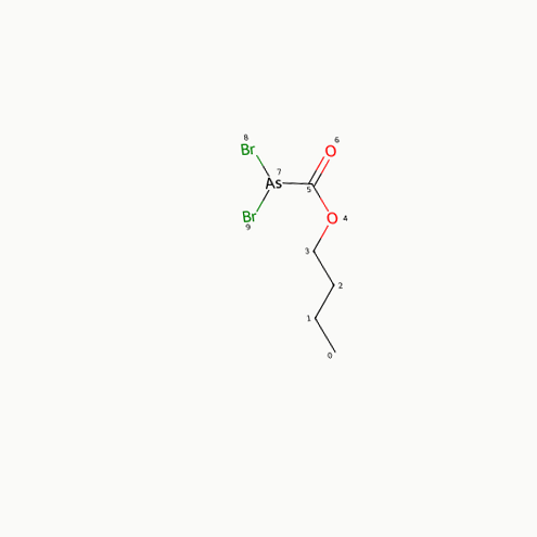 CCCCOC(=O)[As](Br)Br